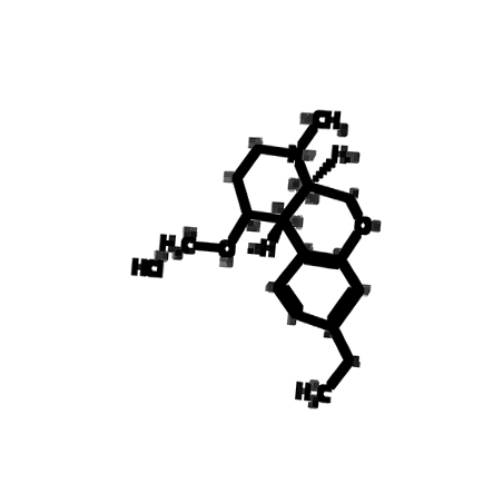 CCc1ccc2c(c1)OC[C@H]1[C@H]2C(OC)CCN1C.Cl